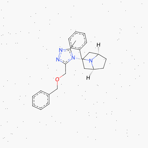 Cc1nnc(COCc2ccccc2)n1[C@@H]1C[C@H]2CC[C@@H](C1)N2Cc1ccccc1